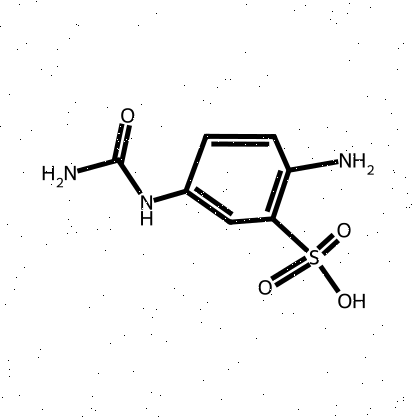 NC(=O)Nc1ccc(N)c(S(=O)(=O)O)c1